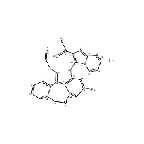 N#CCC=C1c2ccccc2COc2cc(F)cc(Cc3c(C(=O)O)nc4cc(F)ccn34)c21